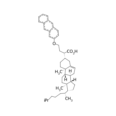 CC(C)CCC[C@@H](C)[C@H]1CC[C@H]2[C@@H]3CC=C4C[C@@H](C(CCOc5ccc6cc7ccccc7cc6c5)C(=O)O)CC[C@]4(C)[C@H]3CC[C@]12C